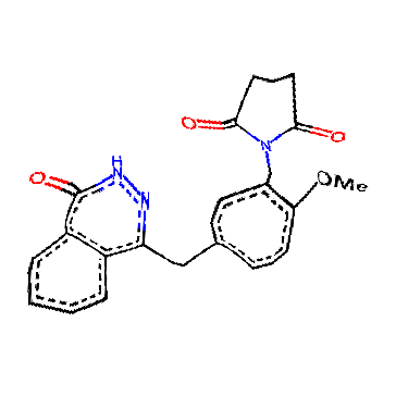 COc1ccc(Cc2n[nH]c(=O)c3ccccc23)cc1N1C(=O)CCC1=O